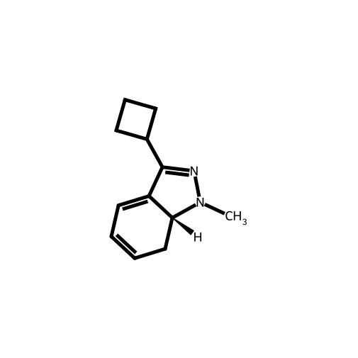 CN1N=C(C2CCC2)C2=CC=CC[C@H]21